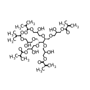 C=C(C)C(=O)OCC(O)COC[C@H](OCC(O)COC(=O)C(=C)C)[C@@H](OCC(O)COC(=O)C(=C)C)[C@@H](COCC(O)COC(=O)C(=C)C)OCC(O)COC(=O)C(=C)C